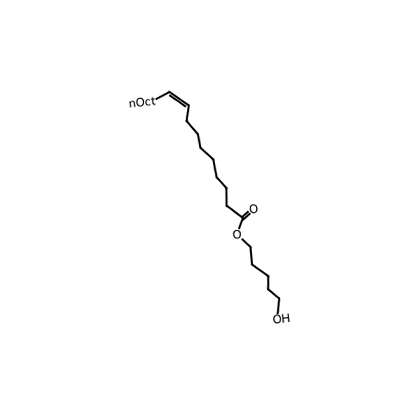 CCCCCCCC/C=C\CCCCCCCC(=O)OCCCCCO